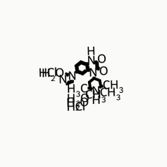 CC1(C)CC(n2c(=O)c(=O)[nH]c3ccc(-n4ccnc4)cc32)CC(C)(C)N1.Cl.Cl.O.O.O